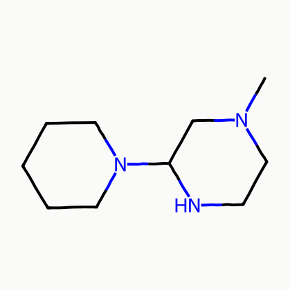 CN1CCNC(N2CCCCC2)C1